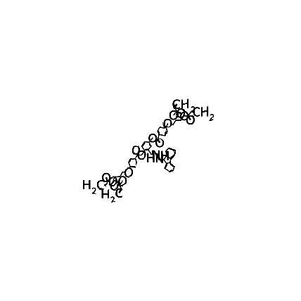 C=CC(=O)OCC(COc1ccc(C(=O)Oc2ccc(OC(=O)c3ccc(OCC(COC(=O)C=C)OC(=O)C=C)cc3)c(CNNC3c4ccccc4-c4ccccc43)c2)cc1)OC(=O)C=C